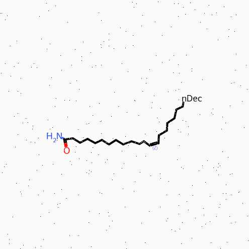 CCCCCCCCCCCCCCCC/C=C\CCCCCCCCCCCC(N)=O